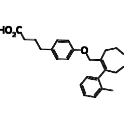 Cc1ccccc1C1=C(COc2ccc(CCCC(=O)O)cc2)CCCCC1